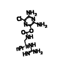 CCC[C@H](CNC(=O)Oc1nc(Cl)c(N)nc1N)NC(=N)N